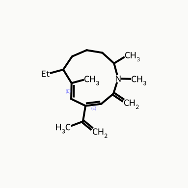 C=C(C)C1=C/C(=C)N(C)C(C)CCCC(CC)\C(C)=C\1